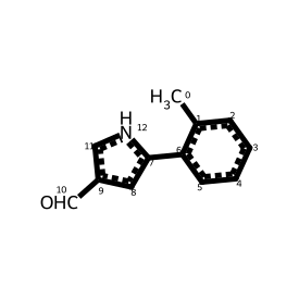 Cc1ccccc1-c1cc(C=O)c[nH]1